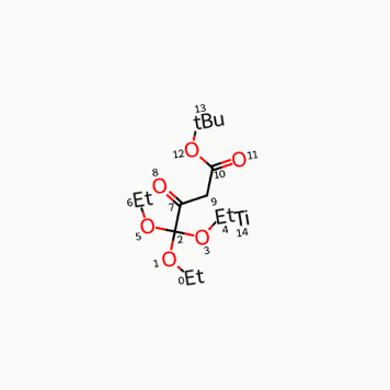 CCOC(OCC)(OCC)C(=O)CC(=O)OC(C)(C)C.[Ti]